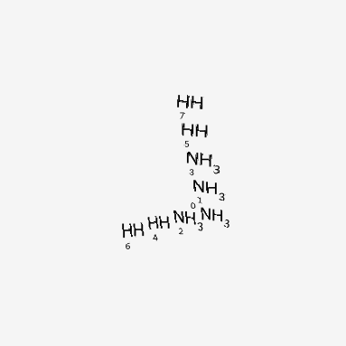 N.N.N.N.[HH].[HH].[HH].[HH]